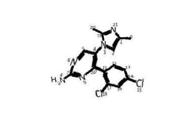 Cc1cn(-c2cnc(N)nc2-c2ccc(Cl)cc2Cl)c(C)n1